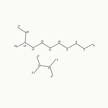 CC(C)C(C)C.CCCCCCCCC(C)CC